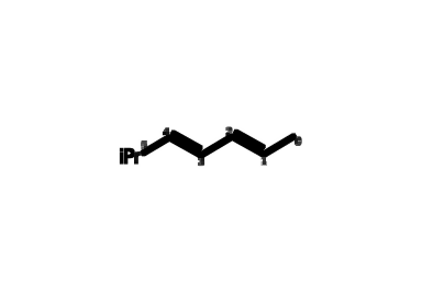 CC=CC=CC(C)C